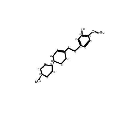 CCCCOc1ccc(CCC2=CCC([C@H]3CC[C@H](CC)CC3)CC2)cc1F